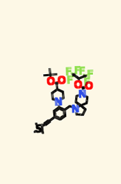 CC(C)(C)OC(=O)C1CCN(c2cc(C#C[Si](C)(C)C)ccc2CN2CCCC23CCN(C(=O)OC(C(F)(F)F)C(F)(F)F)CC3)CC1